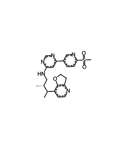 CC(c1ccnc2c1OCC2)[C@H](C)CNc1cc(-c2ccc(S(C)(=O)=O)nc2)ncn1